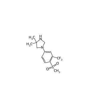 CC1(C)CN(c2ccc(S(C)(=O)=O)c(C(F)(F)F)c2)CN1